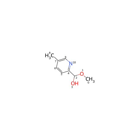 COC(O)c1ccc(C)cn1